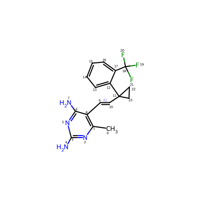 Cc1nc(N)nc(N)c1/C=C/C1(c2ccccc2C(F)(F)F)CC1